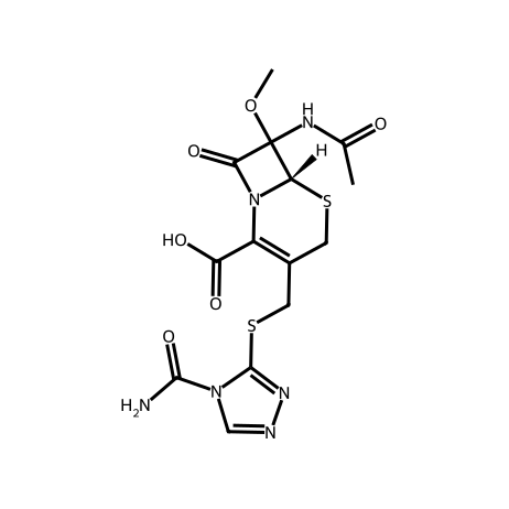 COC1(NC(C)=O)C(=O)N2C(C(=O)O)=C(CSc3nncn3C(N)=O)CS[C@H]21